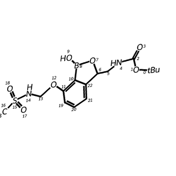 CC(C)(C)OC(=O)NCC1OB(O)c2c(OCNS(C)(=O)=O)cccc21